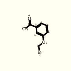 O=C(Cl)c1cccc(OCBr)c1